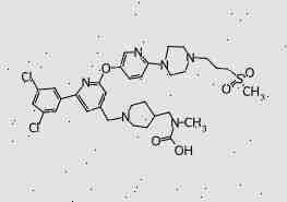 CN(CC1CCN(Cc2cc(Oc3ccc(N4CCN(CCCS(C)(=O)=O)CC4)nc3)nc(-c3cc(Cl)cc(Cl)c3)c2)CC1)C(=O)O